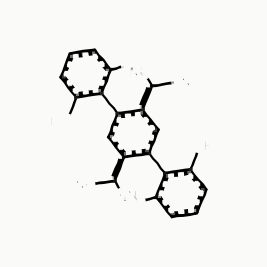 N#CC(C#N)=c1cc(-c2c(C(F)(F)F)cccc2C(F)(F)F)c(=C(C#N)C#N)cc1-c1c(C(F)(F)F)cccc1C(F)(F)F